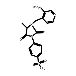 CCOC(=O)c1cnccc1CN1C(=O)N(c2ccc(S(=O)(=O)C(F)(F)F)cc2)C(=O)C1C